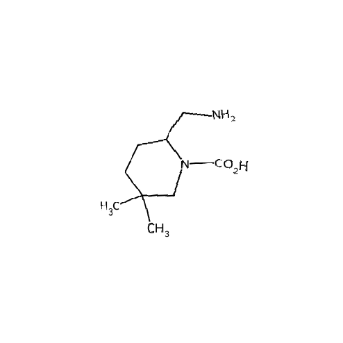 CC1(C)CCC(CN)N(C(=O)O)C1